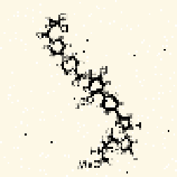 CC[C@](C)(NC(=O)OC)C(=O)N1CC(C)C[C@H]1c1nc(-c2ccc(-c3cc(Cl)c(NC(=O)N4CCN(C5CCN(C(=O)C6CC6(Cl)Cl)CC5)CC4)cc3OC(F)(F)F)cc2)c[nH]1